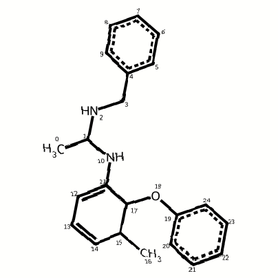 CC(NCc1ccccc1)NC1=CC=CC(C)C1Oc1ccccc1